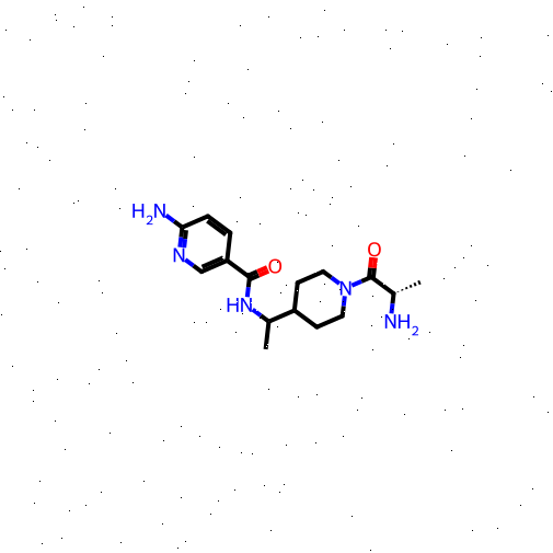 CC(NC(=O)c1ccc(N)nc1)C1CCN(C(=O)[C@H](C)N)CC1